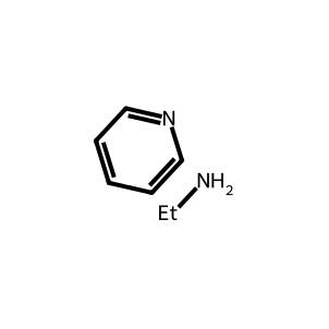 CCN.c1ccncc1